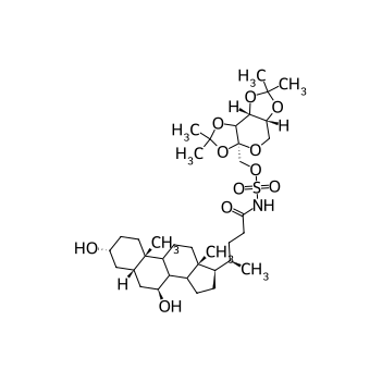 C[C@H](CCC(=O)NS(=O)(=O)OC[C@@]12OC[C@H]3OC(C)(C)O[C@H]3C1OC(C)(C)O2)[C@H]1CCC2C3C(CC[C@@]21C)[C@@]1(C)CC[C@@H](O)C[C@H]1C[C@@H]3O